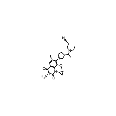 CCN(CCC#N)C(C)C1CCN(c2c(F)cc3c(=O)n(N)c(=O)n(C4CC4)c3c2OC)C1